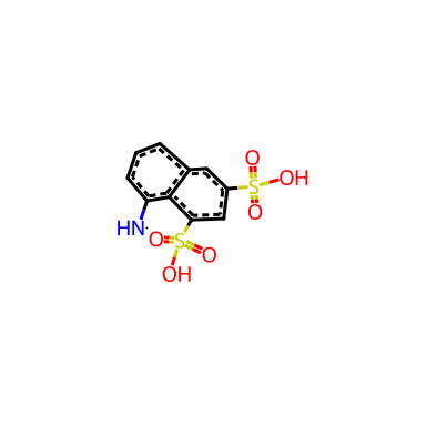 [NH]c1cccc2cc(S(=O)(=O)O)cc(S(=O)(=O)O)c12